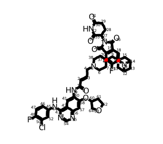 O=C(/C=C/CN1CCC(CN2CC3CC(C2)N3c2cc3c(cc2F)C(=O)N(C2CCC(=O)NC2=O)C3=O)CC1)Nc1cc2c(Nc3ccc(F)c(Cl)c3)ncnc2cc1OC1CCOC1